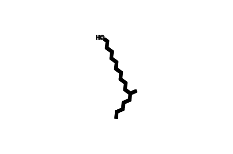 CCCCCC(C)CCCCCCCCCCO